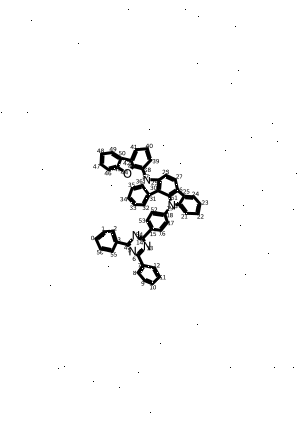 c1ccc(-c2nc(-c3ccccc3)nc(-c3ccc(-n4c5ccccc5c5ccc6c(c7ccccc7n6-c6cccc7c6oc6ccccc67)c54)cc3)n2)cc1